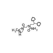 C[C@@H]1CN(C(=O)CCN(CCC(c2ccccc2)c2ccccc2)C(N)=O)CCN1